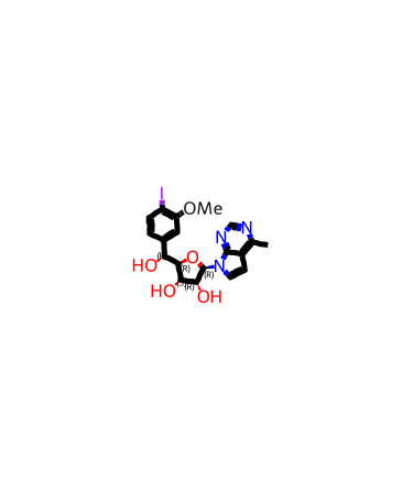 COc1cc([C@@H](O)[C@H]2O[C@@H](n3ccc4c(C)ncnc43)[C@H](O)[C@@H]2O)ccc1I